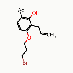 C=CCc1c(OCCCBr)ccc(C(C)=O)c1O